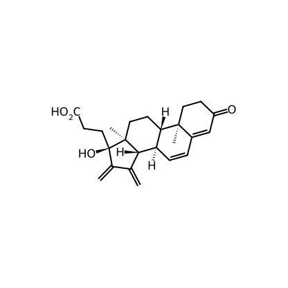 C=C1C(=C)[C@](O)(CCC(=O)O)[C@@]2(C)CC[C@H]3[C@@H](C=CC4=CC(=O)CC[C@@]43C)[C@H]12